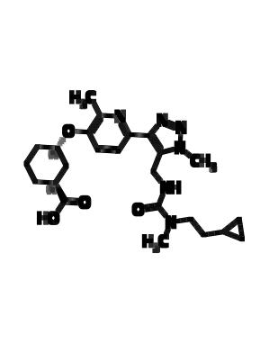 Cc1nc(-c2nnn(C)c2CNC(=O)N(C)CCC2CC2)ccc1O[C@H]1CCC[C@H](C(=O)O)C1